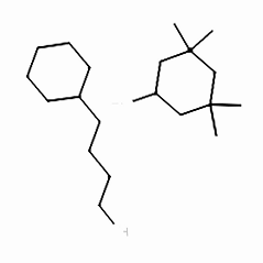 CC1(C)CC(O)CC(C)(C)C1.OCCCCC1CCCCC1